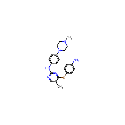 Cc1cnc(Nc2ccc(N3CCN(C)CC3)cc2)nc1Sc1ccc(N)cc1